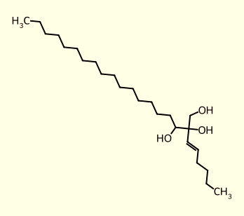 CCCCC=CC(O)(CO)C(O)CCCCCCCCCCCCCCCC